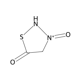 O=C1C[N+](=O)NS1